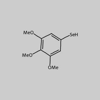 COc1cc([SeH])cc(OC)c1OC